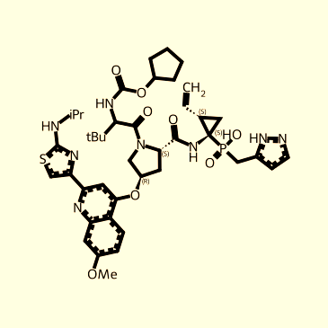 C=C[C@@H]1C[C@]1(NC(=O)[C@@H]1C[C@@H](Oc2cc(-c3csc(NC(C)C)n3)nc3cc(OC)ccc23)CN1C(=O)C(NC(=O)OC1CCCC1)C(C)(C)C)P(=O)(O)Cc1ccn[nH]1